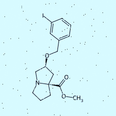 COC(=O)[C@@]12CCCN1C[C@@H](OCc1cccc(I)c1)C2